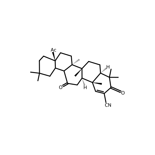 CC(=O)[C@]12CCC(C)(C)CC1C1C(=O)C[C@@H]3[C@@]4(C)C=C(C#N)C(=O)C(C)(C)[C@@H]4CC[C@@]3(C)[C@]1(C)CC2